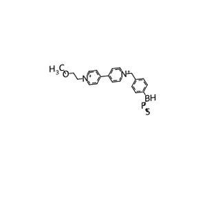 COCC[n+]1ccc(-c2cc[n+](Cc3ccc(BP=S)cc3)cc2)cc1